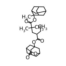 CCC(CC(C)(C)C(=O)OC1(C)C2CC3CC(C2)CC1C3)C(=O)OC12CC3CC(C1)OC(=O)C(C3)C2